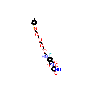 Cc1ccc(SOCCOCCOCCOCCOCCNc2cc3c(cc2F)C(=O)N(C2CCC(=O)NC2=O)C3=O)cc1